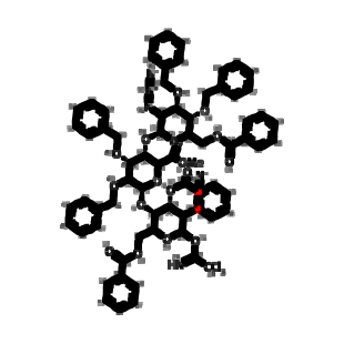 COC(=O)C1O[C@@H](O[C@@H]2C(COC(=O)c3ccccc3)OC(OC(=N)C(Cl)(Cl)Cl)C(N=[N+]=[N-])[C@H]2OC(=O)c2ccccc2)C(OCc2ccccc2)[C@H](OCc2ccccc2)[C@@H]1O[C@@H]1OC(COC(=O)c2ccccc2)[C@@H](OCc2ccccc2)[C@H](OCc2ccccc2)C1N=[N+]=[N-]